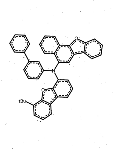 CC(C)(C)c1cccc2c1oc1c(N(c3cccc(-c4ccccc4)c3)c3cc4c5ccccc5oc4c4ccccc34)cccc12